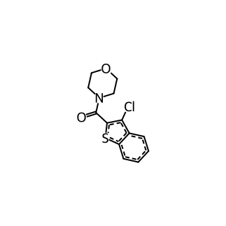 O=C(c1sc2ccccc2c1Cl)N1CCOCC1